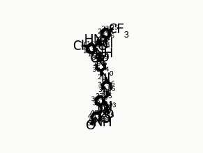 CN(CC1CCN(S(=O)(=O)Nc2ccc(Cl)cc2C(=O)Nc2ccc(C(F)(F)F)cc2Cl)CC1)C1CCN(Cc2cccc3c2n(C)c(=O)n3C2CCC(=O)NC2=O)CC1